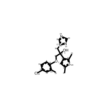 Cc1cc(C(O)(COc2ccc(Cl)cc2C)Cn2cncn2)c(C)s1